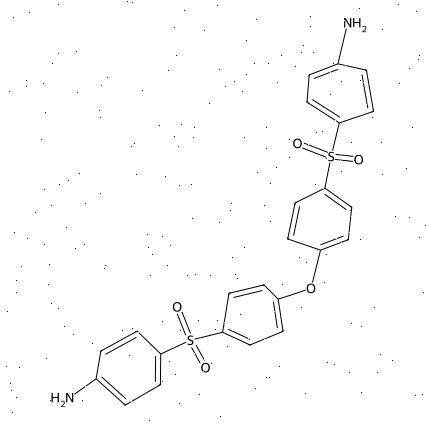 Nc1ccc(S(=O)(=O)c2ccc(Oc3ccc(S(=O)(=O)c4ccc(N)cc4)cc3)cc2)cc1